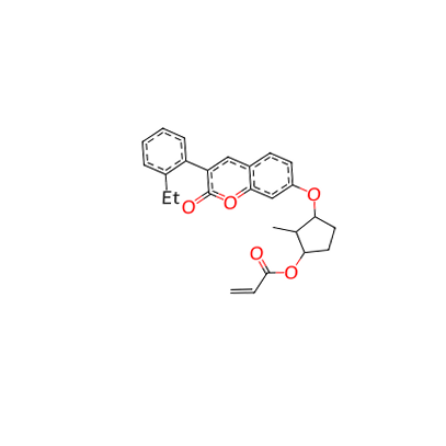 C=CC(=O)OC1CCC(Oc2ccc3cc(-c4ccccc4CC)c(=O)oc3c2)C1C